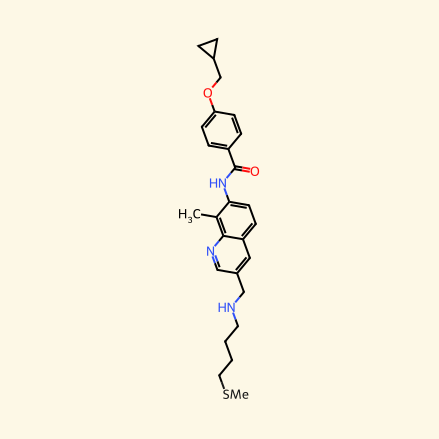 CSCCCCNCc1cnc2c(C)c(NC(=O)c3ccc(OCC4CC4)cc3)ccc2c1